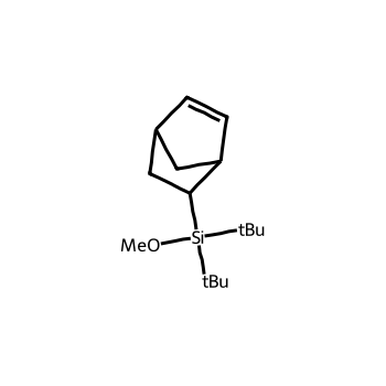 CO[Si](C1CC2C=CC1C2)(C(C)(C)C)C(C)(C)C